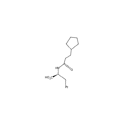 CC(C)C[C@H](NC(=O)CCC1CCCC1)C(=O)O